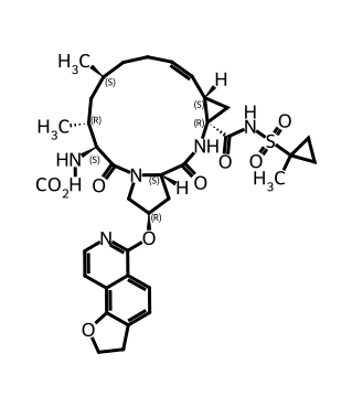 C[C@H]1CCC=C[C@@H]2C[C@@]2(C(=O)NS(=O)(=O)C2(C)CC2)NC(=O)[C@@H]2C[C@@H](Oc3nccc4c5c(ccc34)CCO5)CN2C(=O)[C@@H](NC(=O)O)[C@H](C)C1